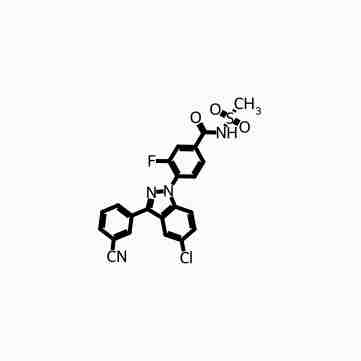 CS(=O)(=O)NC(=O)c1ccc(-n2nc(-c3cccc(C#N)c3)c3cc(Cl)ccc32)c(F)c1